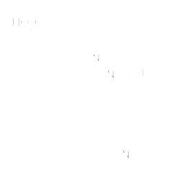 Cn1nc(OCC(=O)O)cc1-c1ccnc(F)c1